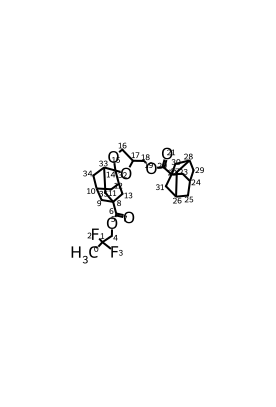 CC(F)(F)COC(=O)C12CC3CC(C1)C1(OCC(COC(=O)C45CC6CC(CC(C6)C4)C5)O1)C(C3)C2